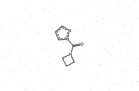 O=C(N1CCC1)n1cc[c]n1